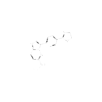 CCCCNc1ccc2ncc(-c3ccc(C4=NCCN4)cc3)n2n1